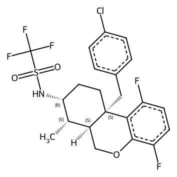 C[C@@H]1[C@H](NS(=O)(=O)C(F)(F)F)CC[C@@]2(Cc3ccc(Cl)cc3)c3c(F)ccc(F)c3OC[C@@H]12